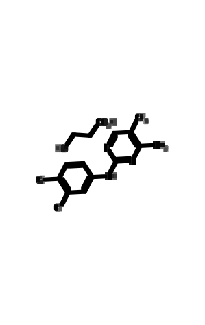 Nc1nc(Nc2ccc(Cl)c(Cl)c2)ncc1C(F)(F)F.O=C(O)CCO